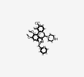 COc1cc2c(c(C(C)N3CCNCC3)nn2Cc2ccccn2)c(-c2cccc(Cl)c2C)c1OC